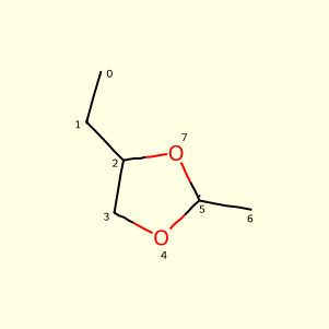 CCC1CO[C](C)O1